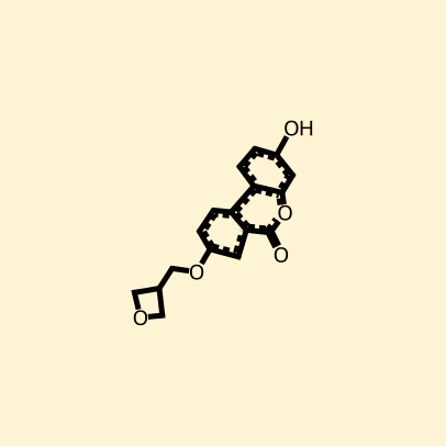 O=c1oc2cc(O)ccc2c2ccc(OCC3COC3)cc12